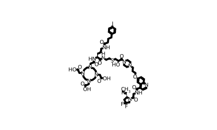 C/N=C/[C@H]1CC(F)(F)CN1C(=O)CNC(=O)c1ccnc2ccc(OCCCN3CCN(C(=O)[C@H](O)CSCCNC(=O)[C@H](CCCNC(=O)CCCc4ccc(I)cc4)NC(=O)CN4CCN(CC(=O)O)CCN(CC(=O)O)CCN(CC(=O)O)CC4)CC3)cc12